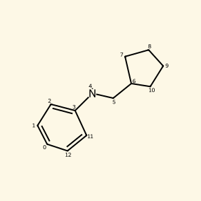 c1ccc([N]CC2CCCC2)cc1